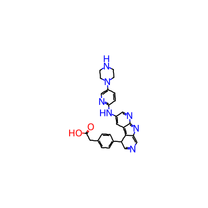 O=C(O)Cc1ccc(C2C=NC=C3N=c4ncc(Nc5ccc(N6CCNCC6)cn5)cc4=C32)cc1